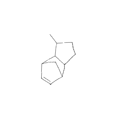 CC1CCC2C3C=CC(C3)C12